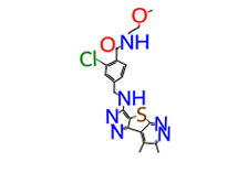 COCCNC(=O)c1ccc(CNc2ncnc3c2sc2nnc(C)c(C)c23)cc1Cl